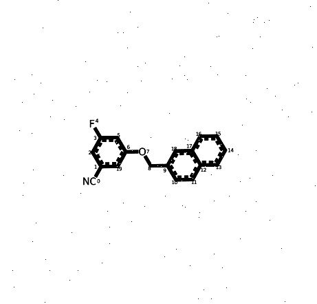 N#Cc1cc(F)cc(OCc2ccc3ccccc3c2)c1